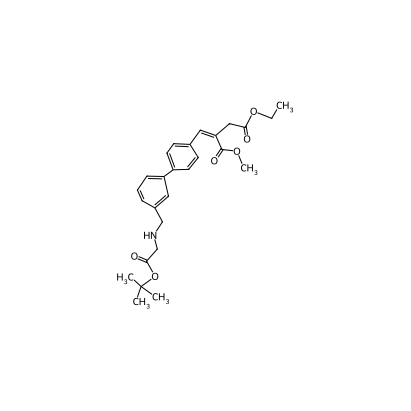 CCOC(=O)CC(=Cc1ccc(-c2cccc(CNCC(=O)OC(C)(C)C)c2)cc1)C(=O)OC